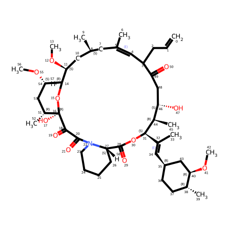 C=CCC1/C=C(\C)C[C@H](C)C[C@H](OC)[C@H]2O[C@@](O)(C(=O)C(=O)N3CCCC[C@H]3C(=O)O[C@H](/C(C)=C/[C@@H]3CC[C@@H](C)[C@H](OC)C3)[C@H](C)[C@@H](O)CC1=O)[C@H](C)C[C@@H]2OC